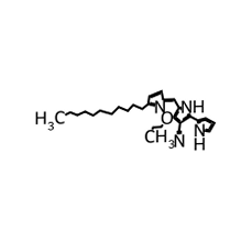 CCCCCCCCCCCC1=NC(=Cc2[nH]c(-c3ccc[nH]3)c(C#N)c2OCCC)C=C1